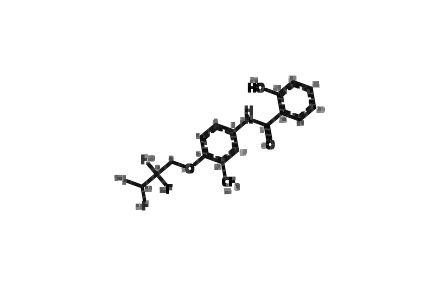 O=C(Nc1ccc(OCC(F)(F)C(F)I)c(C(F)(F)F)c1)c1ccccc1O